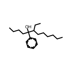 CCCCCCC(CC)C(O)(CCCC)c1ccccc1